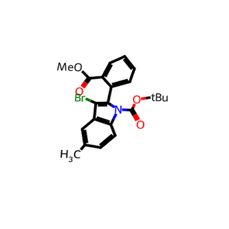 COC(=O)c1ccccc1-c1c(Br)c2cc(C)ccc2n1C(=O)OC(C)(C)C